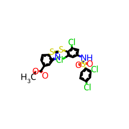 COC(=O)c1ccc2sc(Sc3c(Cl)cc(NS(=O)(=O)c4ccc(Cl)cc4Cl)cc3Cl)nc2c1